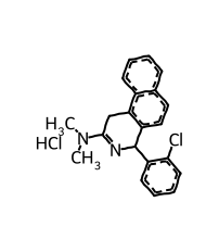 CN(C)C1=NC(c2ccccc2Cl)c2ccc3ccccc3c2C1.Cl